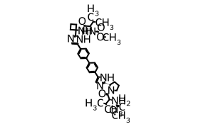 C=C(N[C@H](C(=O)N1CCC[C@H]1c1ncc(-c2ccc(-c3ccc(-c4cnc(C5(NC(=O)[C@@H](NC(=O)OC)C(C)C)CCC5)[nH]4)cc3)cc2)[nH]1)C(C)C)OC